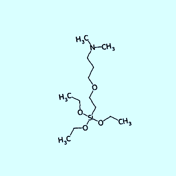 CCO[Si](CCOCCCN(C)C)(OCC)OCC